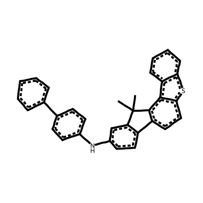 CC1(C)c2cc(Nc3ccc(-c4ccccc4)cc3)ccc2-c2ccc3sc4ccccc4c3c21